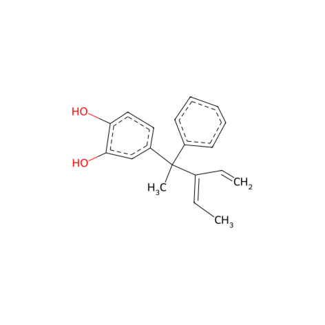 C=C/C(=C\C)C(C)(c1ccccc1)c1ccc(O)c(O)c1